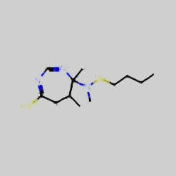 CCCCSN(C)C1(C)N=CN=C(S)CC1C